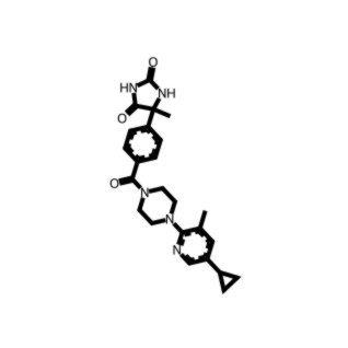 Cc1cc(C2CC2)cnc1N1CCN(C(=O)c2ccc(C3(C)NC(=O)NC3=O)cc2)CC1